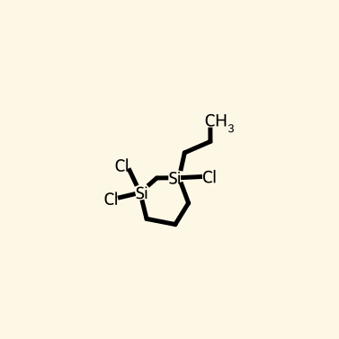 CCC[Si]1(Cl)CCC[Si](Cl)(Cl)C1